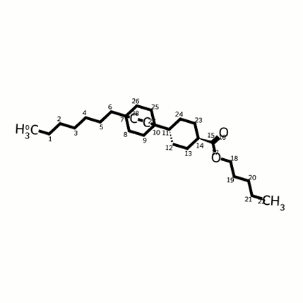 CCCCCCCC12CCC([C@H]3CC[C@H](C(=O)OCCCCC)CC3)(CC1)CC2